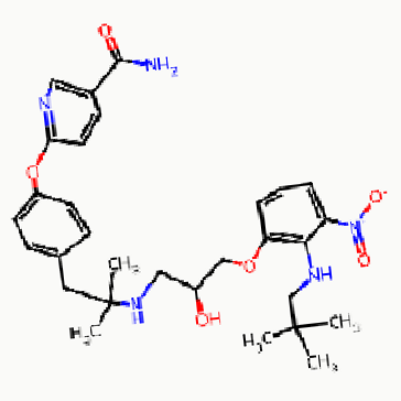 CC(C)(C)CNc1c(OC[C@@H](O)CNC(C)(C)Cc2ccc(Oc3ccc(C(N)=O)cn3)cc2)cccc1[N+](=O)[O-]